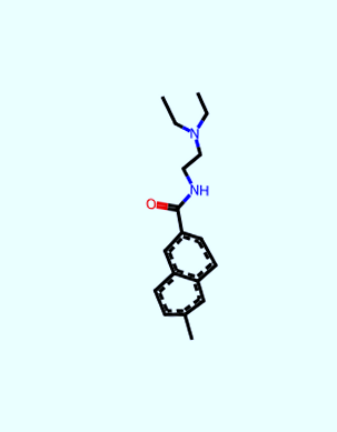 CCN(CC)CCNC(=O)c1ccc2cc(C)ccc2c1